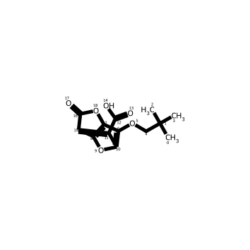 CC(C)(C)COc1c2c3oc1c(C(=O)O)c3C(=O)O2